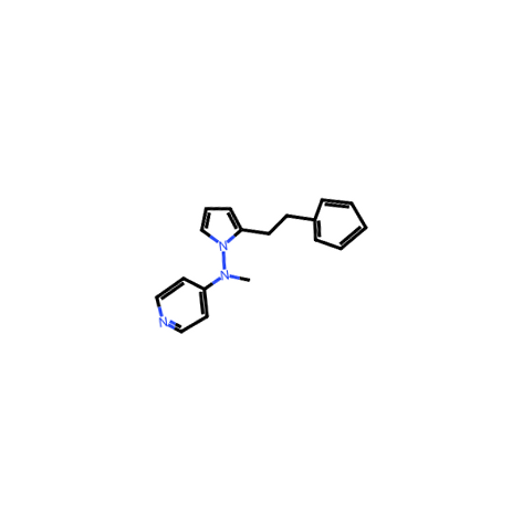 CN(c1ccncc1)n1cccc1CCc1ccccc1